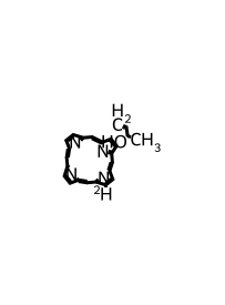 C=CC(C)O.[2H]C1=CC2=CC3=NC(=CC4=NC(=CC5=NC(=CC1=N2)C=C5)C=C4)C=C3